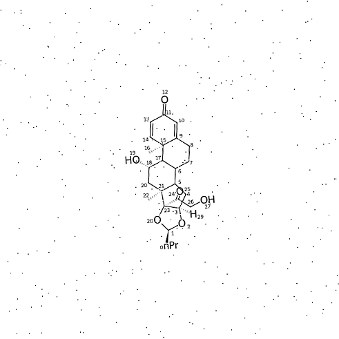 CCC[C@@H]1O[C@@H]2CC3C4CCC5=CC(=O)C=C[C@]5(C)C4[C@@H](O)C[C@]3(C)[C@]2(C(=O)CO)O1